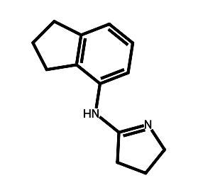 c1cc2c(c(NC3=NCCC3)c1)CCC2